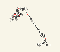 CC[C@H](C)[C@H]([C@@H](CC(=O)N1CCC[C@H]1[C@H](OC)[C@@H](C)C(=O)N[C@@H](Cc1ccccc1)c1nc(C(=O)N(C)CCSSCCN(C)C(=O)CCOCCOCCOCCOCCOCCOCCOCCOCCOCCOCCOCCOCCNC(=O)CCN2C(=O)CC(SCCNC(=O)[C@H](CCC(=O)O)NC(=O)CC[C@H](N)C(=O)O)C2=O)cs1)OC)N(C)C(=O)[C@@H](NC(=O)[C@H](C(C)C)N(C)C)C(C)C